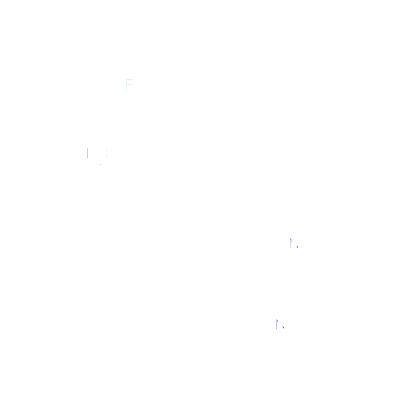 [CH2]/C(F)=C\c1csc(-c2cnccn2)c1